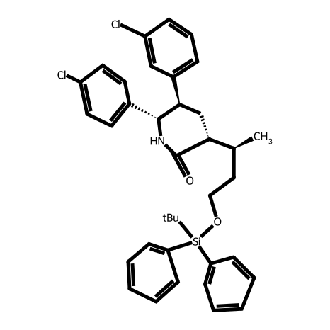 C[C@@H](CCO[Si](c1ccccc1)(c1ccccc1)C(C)(C)C)[C@H]1C[C@H](c2cccc(Cl)c2)[C@@H](c2ccc(Cl)cc2)NC1=O